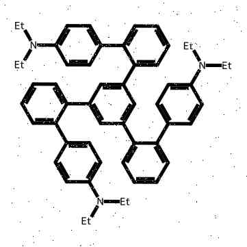 CCN(CC)c1ccc(-c2ccccc2-c2cc(-c3ccccc3-c3ccc(N(CC)CC)cc3)cc(-c3ccccc3-c3ccc(N(CC)CC)cc3)c2)cc1